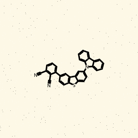 N#Cc1cccc(-c2ccc3sc4ccc(-n5c6ccccc6c6ccccc65)cc4c3c2)c1C#N